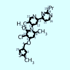 Cc1cc(COc2cc(C)n(-c3cc(-c4ccnc(C(C)C)n4)ncc3C)c(=O)c2Cl)cs1